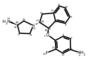 Nc1ccc(O[C@@H]2c3ccccc3C[C@H]2N2CC[C@@H](N)C2)c(F)c1